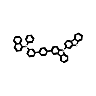 c1ccc(N(c2cccc(-c3ccc(-c4ccc5c(c4)c4ccccc4n5-c4ccc5c(c4)sc4ccccc45)cc3)c2)c2cccc3ccccc23)cc1